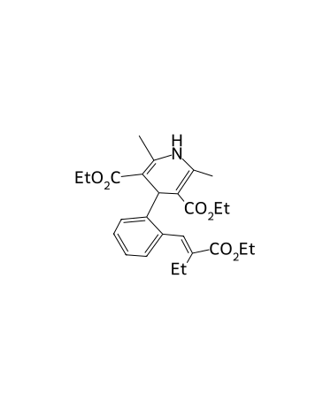 CCOC(=O)C1=C(C)NC(C)=C(C(=O)OCC)C1c1ccccc1/C=C(\CC)C(=O)OCC